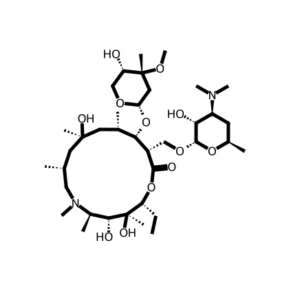 CC[C@H]1OC(=O)[C@@H](CO[C@H]2O[C@H](C)C[C@H](N(C)C)[C@H]2O)[C@@H](O[C@H]2C[C@@](C)(OC)[C@@H](O)CO2)[C@@H](C)C[C@](C)(O)C[C@@H](C)CN(C)[C@H](C)[C@@H](O)[C@]1(C)O